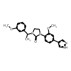 COc1cccc(C(C)N2CCN(c3ccc(-c4cn[nH]c4)cc3OC)C2=O)c1